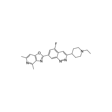 CCN1CCC(c2cc3c(F)cc(-c4nc5c(C)nc(C)cc5o4)cc3nn2)CC1